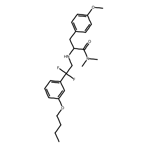 CCCCOc1cccc(C(F)(F)CNC(Cc2ccc(OC)cc2)C(=O)N(C)C)c1